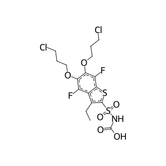 CCc1c(S(=O)(=O)NC(=O)O)sc2c(F)c(OCCCCl)c(OCCCCl)c(F)c12